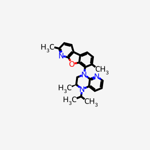 Cc1ccc2c(n1)oc1c(N3C[C@H](C)N(C(C)C)c4cccnc43)c(C)ccc12